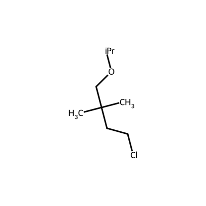 CC(C)OCC(C)(C)CCCl